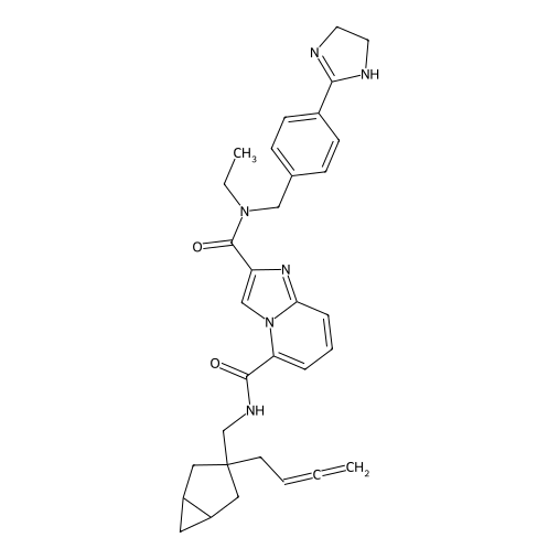 C=C=CCC1(CNC(=O)c2cccc3nc(C(=O)N(CC)Cc4ccc(C5=NCCN5)cc4)cn23)CC2CC2C1